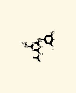 CC(C)Nc1nc(NN)nc(Nc2cc(Cl)cc(Cl)c2)n1